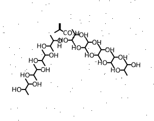 C=C(C)C(=O)O.CC(O)C(C)O.CC(O)C(C)O.CC(O)C(C)O.CC(O)C(C)O.CC(O)C(C)O.CC(O)C(C)O.CC(O)C(C)O.CC(O)C(C)O.CC(O)C(C)O